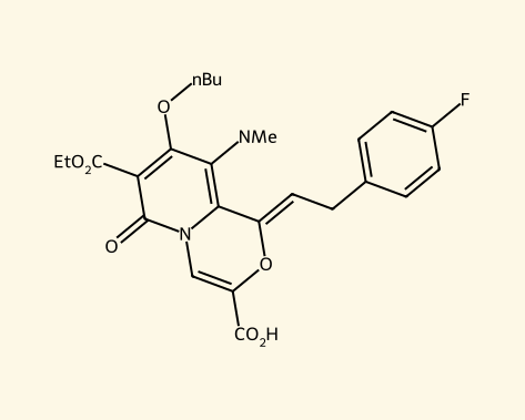 CCCCOc1c(NC)c2n(c(=O)c1C(=O)OCC)C=C(C(=O)O)O/C2=C\Cc1ccc(F)cc1